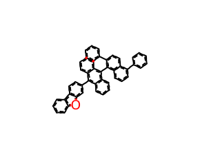 c1ccc(-c2ccc3c(-c4ccccc4)cccc3c2-c2c3ccccc3c(-c3ccc4c(c3)oc3ccccc34)c3ccccc23)cc1